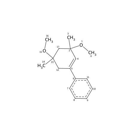 COC1(C)C=C(c2ccccc2)CC(C)(OC)C1